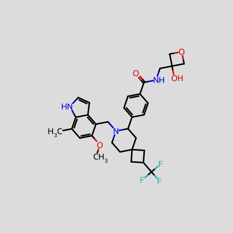 COc1cc(C)c2[nH]ccc2c1CN1CCC2(CC1c1ccc(C(=O)NCC3(O)COC3)cc1)CC(C(F)(F)F)C2